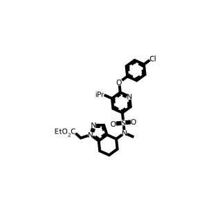 CCOC(=O)Cn1ncc2c1CCCC2N(C)S(=O)(=O)c1cnc(Oc2ccc(Cl)cc2)c(C(C)C)c1